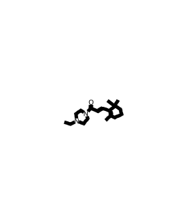 CCN1CCN(C(=O)/C=C/C2=C(C)CCCC2(C)C)CC1